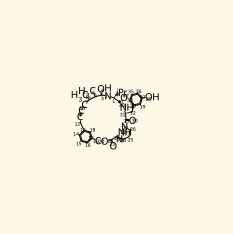 CC(C)[C@@H]1NC(=O)[C@H](C)[C@H](C)CCCCc2cccc(c2)COC(=O)[C@@H]2CCCN(N2)C(=O)[C@H](Cc2cccc(O)c2)NC1=O